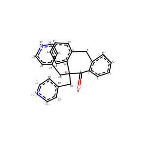 O=C1c2ccccc2Cc2ccccc2C1(Cc1ccncc1)Cc1ccncc1